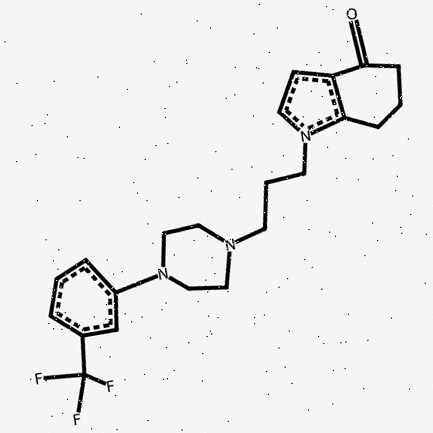 O=C1CCCc2c1ccn2CCCN1CCN(c2cccc(C(F)(F)F)c2)CC1